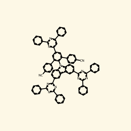 N#Cc1ccc(-c2cc(-c3cc(-c4ccccc4)nc(-c4ccccc4)n3)cc(-c3ccc(C#N)cc3)c2-n2c3ccc(-c4nc(-c5ccccc5)nc(-c5ccccc5)n4)cc3c3cc(-c4nc(-c5ccccc5)nc(-c5ccccc5)n4)ccc32)cc1